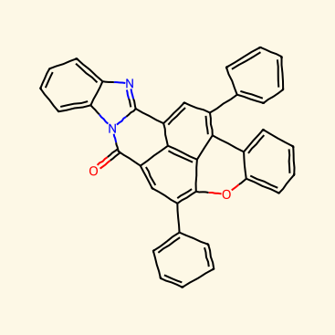 O=c1c2cc(-c3ccccc3)c3oc4ccccc4c4c(-c5ccccc5)cc(c2c34)c2nc3ccccc3n12